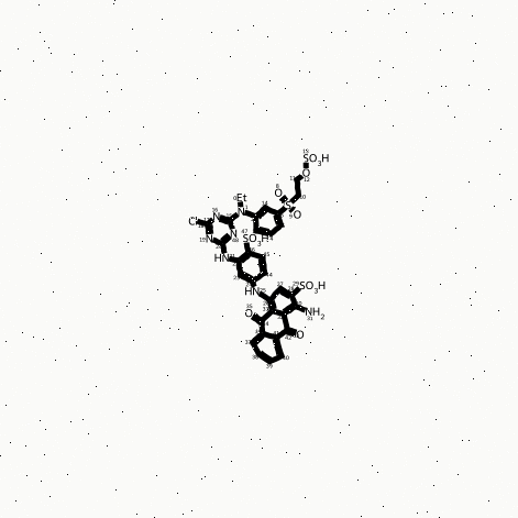 CCN(c1cccc(S(=O)(=O)CCOS(=O)(=O)O)c1)c1nc(Cl)nc(Nc2cc(Nc3cc(S(=O)(=O)O)c(N)c4c3C(=O)c3ccccc3C4=O)ccc2S(=O)(=O)O)n1